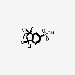 O=S(=O)(O)c1ccc(C(Cl)(Cl)Cl)c(C(Cl)(Cl)Cl)c1